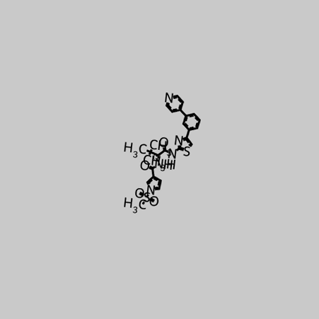 CC(C)(C)[C@H](NC(=O)c1ccn(S(C)(=O)=O)c1)C(=O)Nc1nc(-c2cccc(-c3ccncc3)c2)cs1